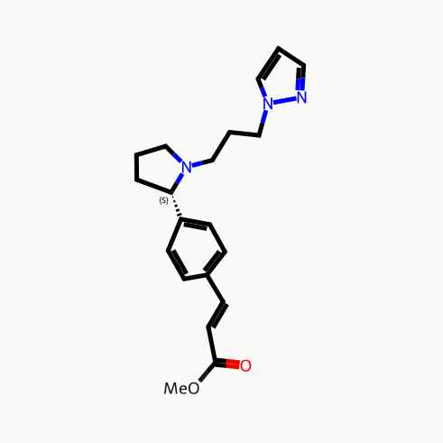 COC(=O)C=Cc1ccc([C@@H]2CCCN2CCCn2cccn2)cc1